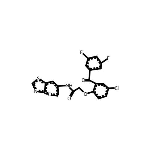 O=C(COc1ccc(Cl)cc1C(=O)c1cc(F)cc(F)c1)Nc1ccc2ncsc2c1